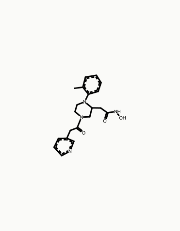 Cc1ccccc1N1CCN(C(=O)Cc2cccnc2)CC1CC(=O)NO